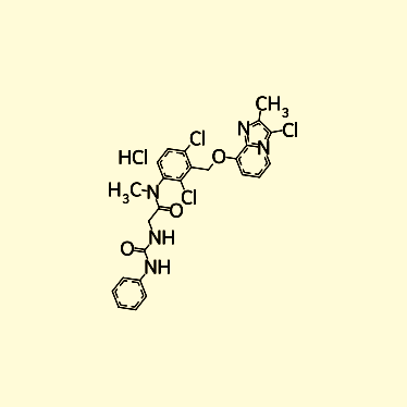 Cc1nc2c(OCc3c(Cl)ccc(N(C)C(=O)CNC(=O)Nc4ccccc4)c3Cl)cccn2c1Cl.Cl